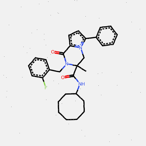 CC1(C(=O)NC2CCCCCCC2)Cn2c(ccc2-c2ccccc2)C(=O)N1Cc1ccccc1F